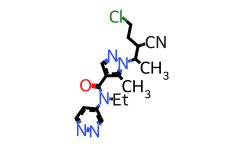 CCN(C(=O)c1cnn(C(C)C(C#N)CCCl)c1C)c1ccnnc1